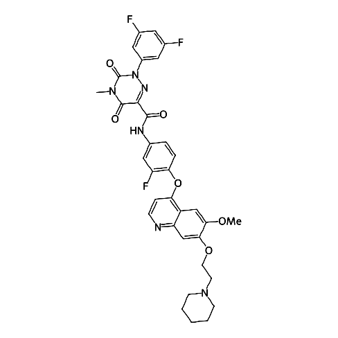 COc1cc2c(Oc3ccc(NC(=O)c4nn(-c5cc(F)cc(F)c5)c(=O)n(C)c4=O)cc3F)ccnc2cc1OCCN1CCCCC1